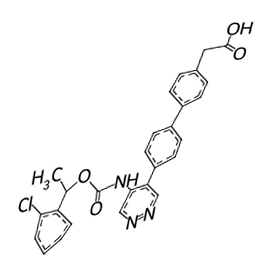 CC(OC(=O)Nc1cnncc1-c1ccc(-c2ccc(CC(=O)O)cc2)cc1)c1ccccc1Cl